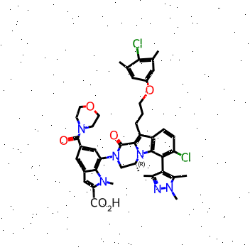 Cc1cc(OCCCc2c3n(c4c(-c5c(C)nn(C)c5C)c(Cl)ccc24)[C@H](C)CN(c2cc(C(=O)N4CCOCC4)cc4cc(C(=O)O)n(C)c24)C3=O)cc(C)c1Cl